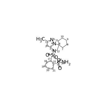 Cc1cc2n(n1)C1(CCCCC1)CN2S(=O)(=O)c1ccccc1S(N)(=O)=O